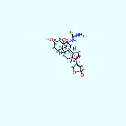 CC12CC[C@H]3[C@@H](CCC4(O)C[C@H](O)CCC34/C=N/NC(N)=S)C1(O)CCC2C1=CC(=O)OC1